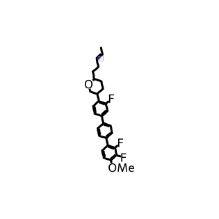 C/C=C/CCC1CCC(c2ccc(-c3ccc(-c4ccc(OC)c(F)c4F)cc3)cc2F)CO1